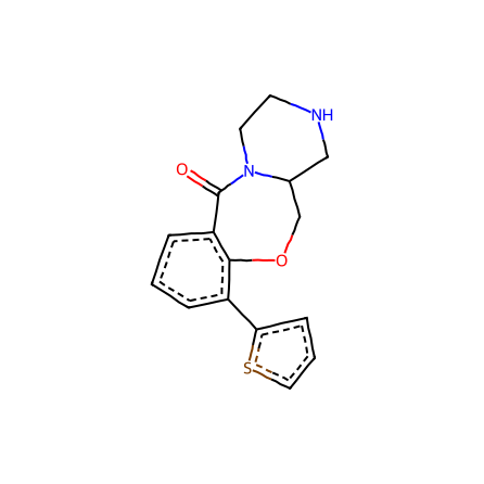 O=C1c2cccc(-c3cccs3)c2OCC2CNCCN12